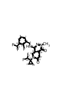 Cn1nc(NCc2cccc(C(F)F)c2F)c2cn(C3(C(F)F)CC3)c(=O)cc2c1=O